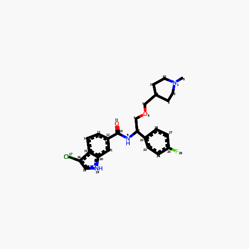 CN1CCC(COCC(NC(=O)c2ccc3c(Cl)c[nH]c3c2)c2ccc(F)cc2)CC1